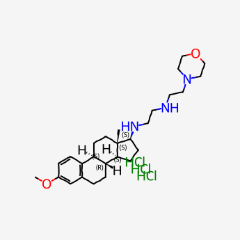 COc1ccc2c(c1)CC[C@@H]1[C@@H]2CC[C@]2(C)[C@@H](NCCNCCN3CCOCC3)CC[C@@H]12.Cl.Cl.Cl